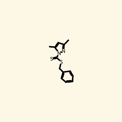 Cc1cc(C)n(C(=S)SCc2ccccc2)n1